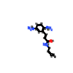 C=CCNC(=O)C=Cc1cc(N)ccc1N